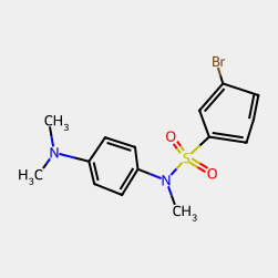 CN(C)c1ccc(N(C)S(=O)(=O)c2cccc(Br)c2)cc1